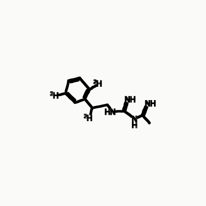 [2H]c1ccc([2H])c(C([2H])CNC(=N)NC(C)=N)c1